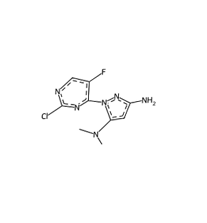 CN(C)c1cc(N)nn1-c1nc(Cl)ncc1F